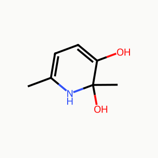 CC1=CC=C(O)C(C)(O)N1